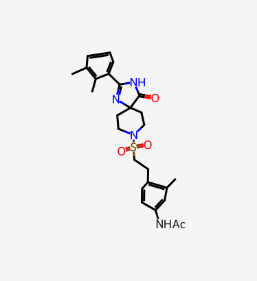 CC(=O)Nc1ccc(CCS(=O)(=O)N2CCC3(CC2)N=C(c2cccc(C)c2C)NC3=O)c(C)c1